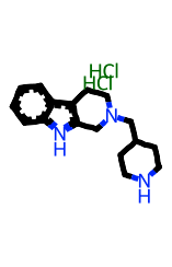 Cl.Cl.c1ccc2c3c([nH]c2c1)CN(CC1CCNCC1)CC3